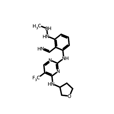 CBNc1cccc(Nc2ncc(C(F)(F)F)c(NC3CCOC3)n2)c1C=N